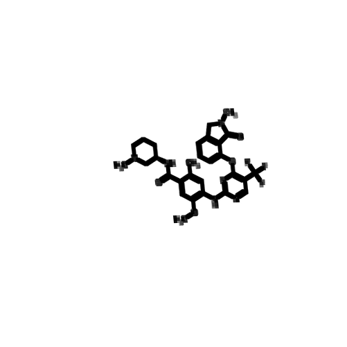 COc1cc(C(=O)N[C@@H]2CCCN(C)C2)c(C)cc1Nc1ncc(C(F)(F)F)c(Oc2cccc3c2C(=O)N(C)C3)n1